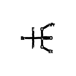 CCCOP(=O)(OCC)C(F)(F)Br